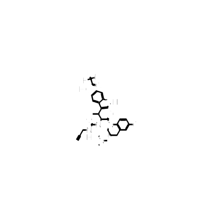 C#CCNC(=O)NC(C(=O)N1C[C@@H](CN(C)C)Cc2cc(Cl)ccc21)C(C)c1c[nH]c2ccccc12.O=C(O)C(F)(F)F